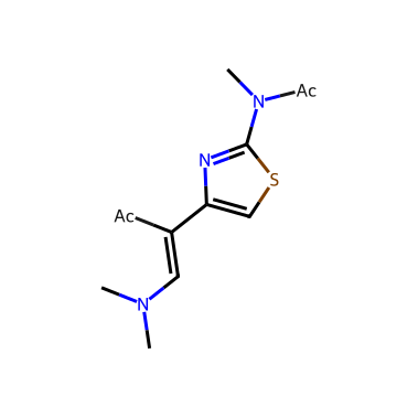 CC(=O)C(=CN(C)C)c1csc(N(C)C(C)=O)n1